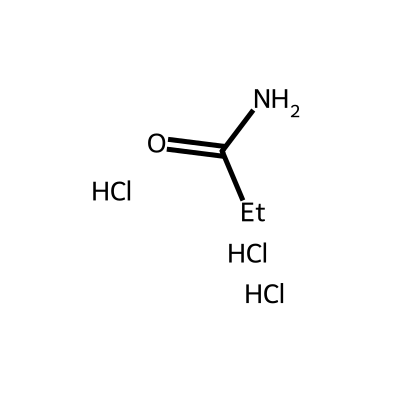 CCC(N)=O.Cl.Cl.Cl